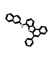 c1ccc(-c2cc3ccccc3c3c2oc2c(Nc4ccc5ccccc5c4)cccc23)cc1